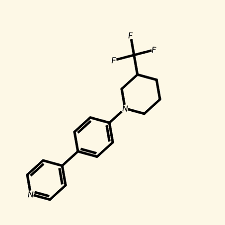 FC(F)(F)C1CCCN(c2ccc(-c3ccncc3)cc2)C1